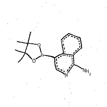 CC1(C)OB(c2cnc(N)c3ccccc23)OC1(C)C